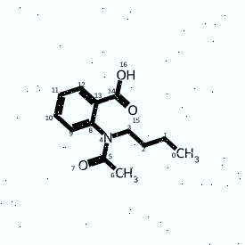 CCCCN(C(C)=O)c1ccccc1C(=O)O